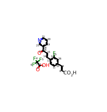 O=C(O)C(F)(F)F.O=C(O)C=Cc1ccc(C=CC(=O)c2cccnc2)c(F)c1